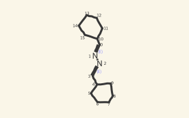 C(=N\N=C\C1CCCCC1)/C1CCCCC1